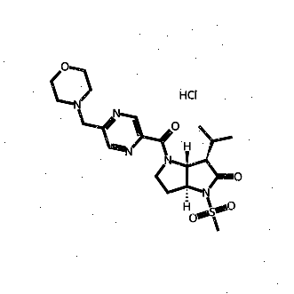 CC(C)[C@H]1C(=O)N(S(C)(=O)=O)[C@H]2CCN(C(=O)c3cnc(CN4CCOCC4)cn3)[C@H]12.Cl